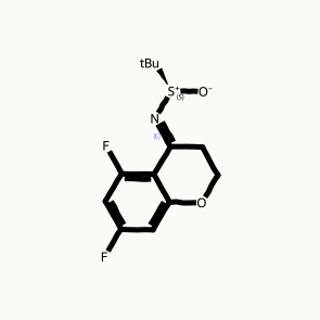 CC(C)(C)[S@@+]([O-])/N=C1\CCOc2cc(F)cc(F)c21